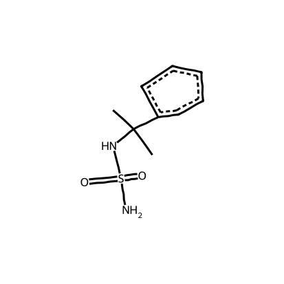 CC(C)(NS(N)(=O)=O)c1ccccc1